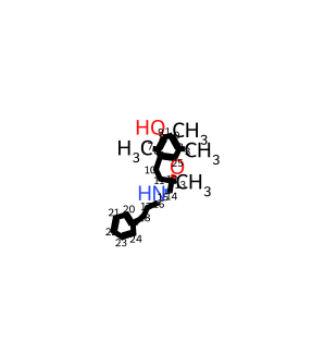 Cc1c(C)c2c(c(C)c1O)CCC(C)(CNCCCc1ccccc1)O2